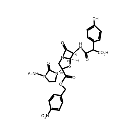 CC(=O)NN1CCN([C@]2(C(=O)OCc3ccc([N+](=O)[O-])cc3)CN3C(=O)[C@@H](NC(=O)C(C(=O)O)c4ccc(O)cc4)[C@H]3S2)C1=O